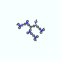 C=C/C=C\C(=C/C)CCC(C1=CCC(c2ccc(N(C3=CC=CCC3)c3cccc(C)c3)cc2)C=C1)c1ccc(C2=CC(c3ccc(N(c4ccccc4)c4ccc(C(/C=C\C(C)N(c5ccccc5)c5cccc(C)c5)=C/C)cc4)cc3)=CC(C3C=CC(N(c4ccccc4)c4ccc(C5=CCC(N(C6=CC=C[C@H](C)C6)c6ccccc6)C=C5)cc4)=CC3)C2)cc1